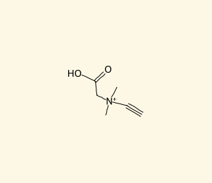 C#C[N+](C)(C)CC(=O)O